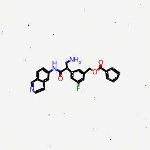 NCC(C(=O)Nc1ccc2cnccc2c1)c1cc(F)cc(COC(=O)c2ccccc2)c1